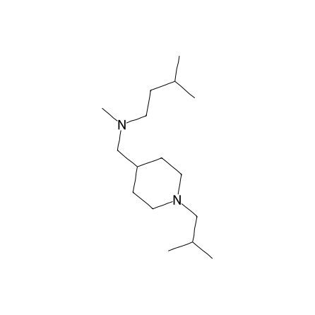 CC(C)CCN(C)CC1CCN(CC(C)C)CC1